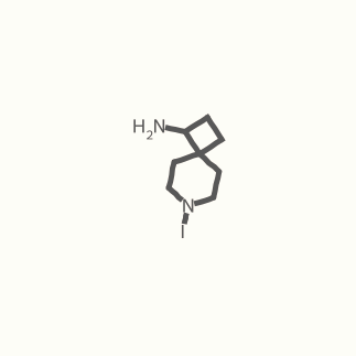 NC1CCC12CCN(I)CC2